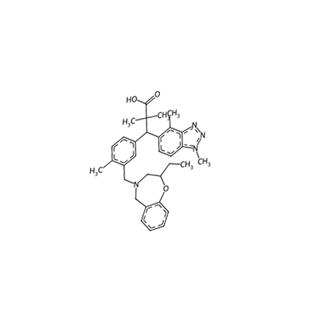 CCC1CN(Cc2cc(C(c3ccc4c(nnn4C)c3C)C(C)(C)C(=O)O)ccc2C)Cc2ccccc2O1